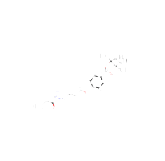 CC(C)(C)CC(=O)NCCCCOc1ccc(B2OC(C)(C)C(C)(C)O2)cc1